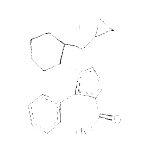 O=C(O)c1ncn([C@@H]2CCCC[C@@]2(O)CC2CC2)c1-c1ccccc1